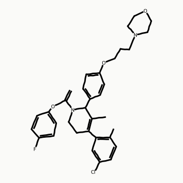 C=C(Oc1ccc(F)cc1)N1CCC(c2cc(Cl)ccc2C)=C(C)C1c1ccc(OCCCN2CCOCC2)cc1